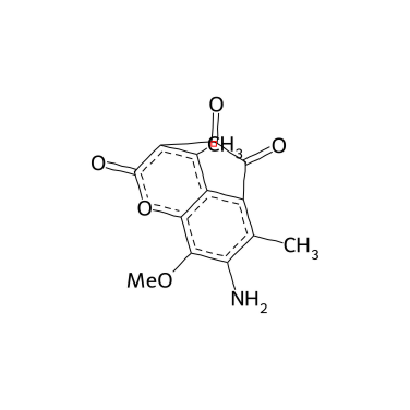 COc1c(N)c(C)c2c3c(C)c(c(=O)oc13)C(=O)C2=O